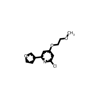 COCCOc1cc(Cl)nc(-c2ccoc2)c1